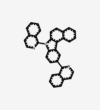 c1ccc2c(-c3ccc4c(c3)c3c5ccccc5ccc3n4-c3nccc4ccccc34)nccc2c1